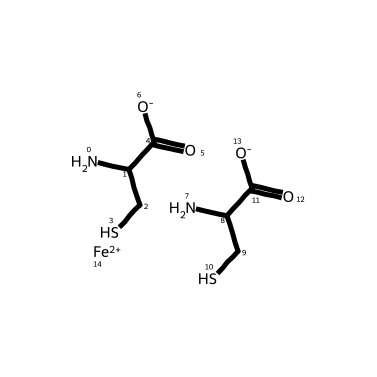 NC(CS)C(=O)[O-].NC(CS)C(=O)[O-].[Fe+2]